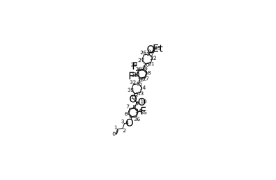 C=CCCOc1ccc(C(=O)OC2CCC(c3ccc(C4CCC(OCC)CC4)c(F)c3F)CC2)c(F)c1